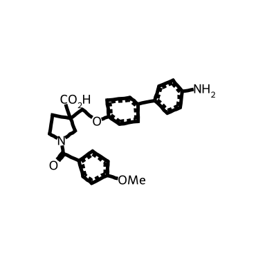 COc1ccc(C(=O)N2CCC(COc3ccc(-c4ccc(N)cc4)cc3)(C(=O)O)C2)cc1